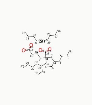 CCCCC(CC)CC(CCCC(=O)[O-])(CC(CC)CCCC)C(=O)[O-].CCC[CH2][Sn+2][CH2]CCC